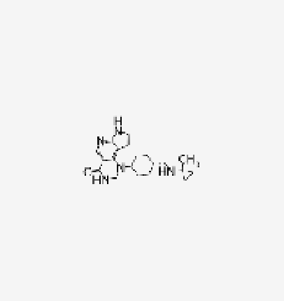 CC1(NC[C@H]2CC[C@H](N3CNC(=O)c4cnc5[nH]ccc5c43)CC2)CC1